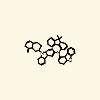 C=C1CC=CC2CCC(N3C4C=CC(N(C5=CCCC6Oc7ccccc7C56)C5=C6C7=CCCC=C7C(C)(C)C6CC=C5)=CC4C4C=CCCC43)CC12